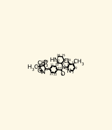 Cc1ccnc(N(C(=O)c2ccc(C3=NOC(C)(C)C3=O)cc2)C2CCCNC2)c1Cl